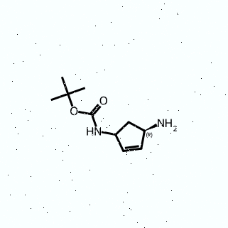 CC(C)(C)OC(=O)NC1C=C[C@H](N)C1